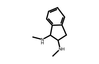 CNC1Cc2ccccc2C1NC